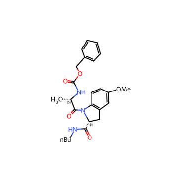 CCCCNC(=O)[C@H]1Cc2cc(OC)ccc2N1C(=O)[C@H](C)NC(=O)OCc1ccccc1